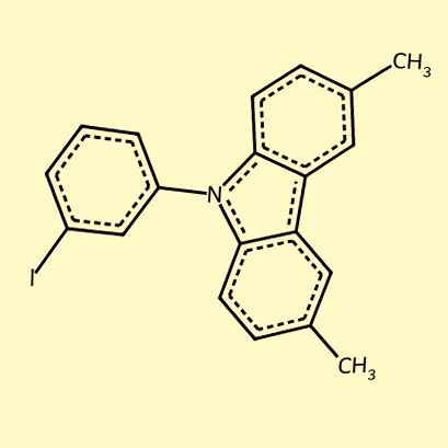 Cc1ccc2c(c1)c1cc(C)ccc1n2-c1cccc(I)c1